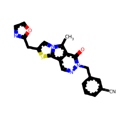 Cc1c2c(=O)n(Cc3cccc(C#N)c3)ncc2c2sc(Cc3ncco3)cn12